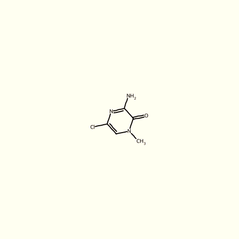 Cn1cc(Cl)nc(N)c1=O